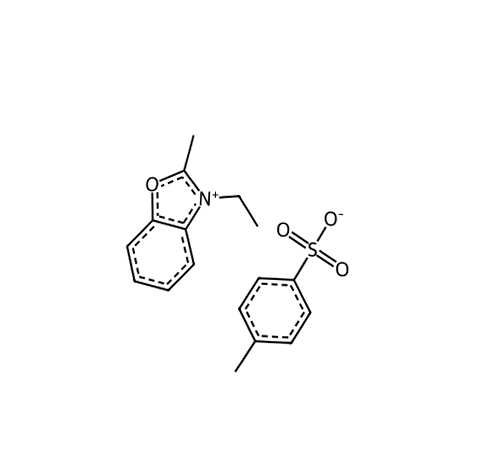 CC[n+]1c(C)oc2ccccc21.Cc1ccc(S(=O)(=O)[O-])cc1